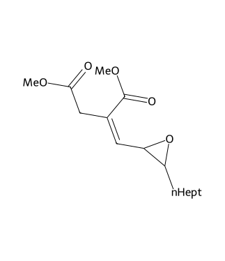 CCCCCCCC1OC1C=C(CC(=O)OC)C(=O)OC